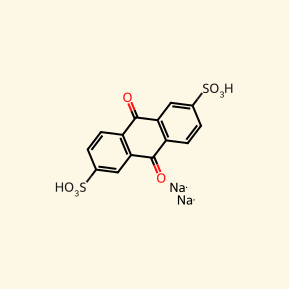 O=C1c2ccc(S(=O)(=O)O)cc2C(=O)c2ccc(S(=O)(=O)O)cc21.[Na].[Na]